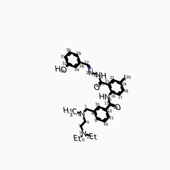 CCN(CC)CCN(C)Cc1cccc(C(=O)Nc2ccc(I)cc2C(=O)N/N=C/c2cccc(O)c2)c1